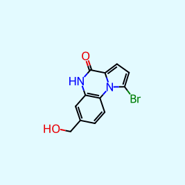 O=c1[nH]c2cc(CO)ccc2n2c(Br)ccc12